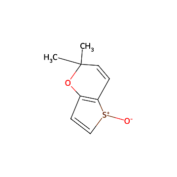 CC1(C)C=Cc2c(cc[s+]2[O-])O1